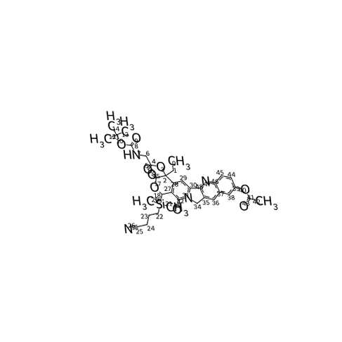 CCC1(OC(=O)CNC(=O)OC(C)(C)C)C(=O)OC([Si](C)(C)CCCC#N)c2c1cc1n(c2=O)Cc2cc3cc(OC(C)=O)ccc3nc2-1